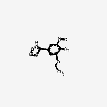 CCOc1cc(-c2nnn[nH]2)cc(N=O)c1O